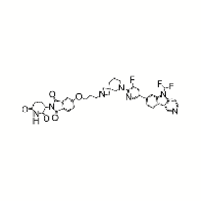 O=C1CCC(N2C(=O)c3ccc(OCCCN4CC5(CCCN(c6ncc(-c7ccc8c9cnccc9n(C(F)F)c8c7)cc6F)C5)C4)cc3C2=O)C(=O)N1